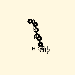 C[Si](C)(C)c1ccc(-c2ccc3cc(-c4ccc(-c5ccc6sc7ccccc7c6c5)nc4)cnc3c2)cc1